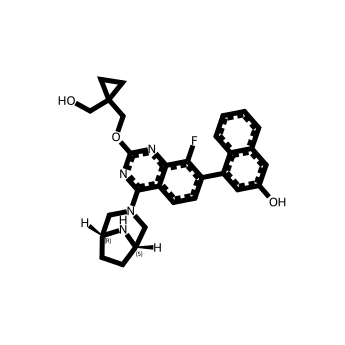 OCC1(COc2nc(N3C[C@H]4CC[C@@H](C3)N4)c3ccc(-c4cc(O)cc5ccccc45)c(F)c3n2)CC1